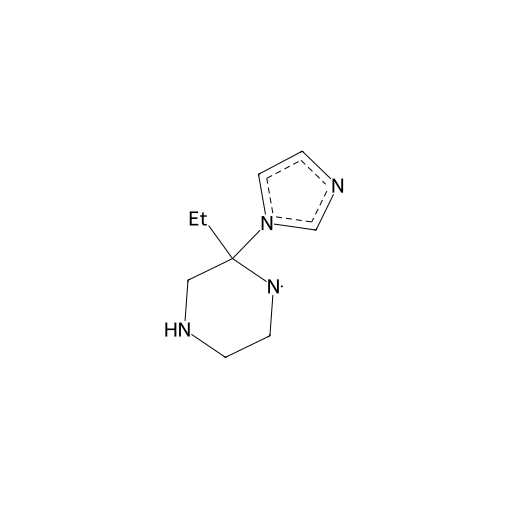 CCC1(n2ccnc2)CNCC[N]1